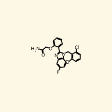 NC(=O)COc1ccccc1-c1nc2cc(F)ccc2n1Cc1c(Cl)cccc1Cl